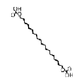 O=C(O)OCCCCCCCCCCCCCCCCCCCCOC(=O)O